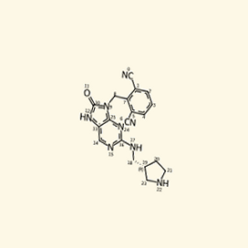 N#Cc1cccc(C#N)c1Cn1c(=O)[nH]c2cnc(NC[C@@H]3CCNC3)nc21